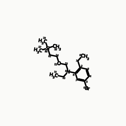 CCc1ccc(Br)cc1N(CC)COCC[Si](C)(C)C